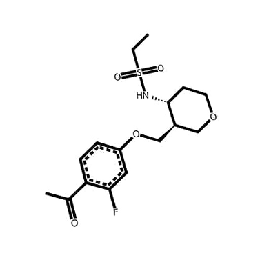 CCS(=O)(=O)N[C@@H]1CCOC[C@H]1COc1ccc(C(C)=O)c(F)c1